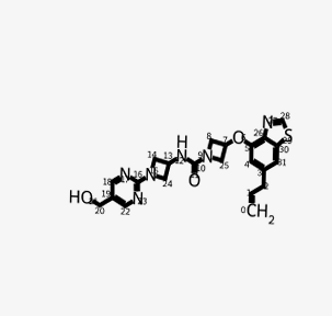 C=CCc1cc(OC2CN(C(=O)NC3CN(c4ncc(CO)cn4)C3)C2)c2ncsc2c1